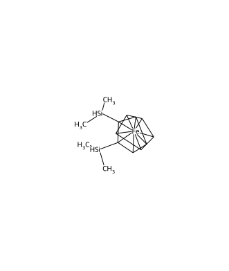 C[SiH](C)[C]12[CH]3[CH]4[CH]5[C]1([SiH](C)C)[Fe]43521678[CH]2[CH]1[CH]6[CH]7[CH]28